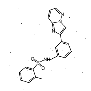 Cc1ccccc1S(=O)(=O)NCc1cccc(-c2cn3ncccc3n2)c1